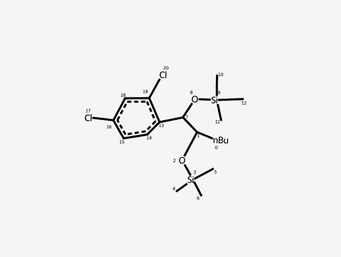 CCCCC(O[Si](C)(C)C)C(O[Si](C)(C)C)c1ccc(Cl)cc1Cl